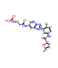 O=C(O)NCCC(=O)Nc1cnc2nc(-c3cc(NC(=O)c4ccc(F)o4)ccc3Cl)[nH]c2c1